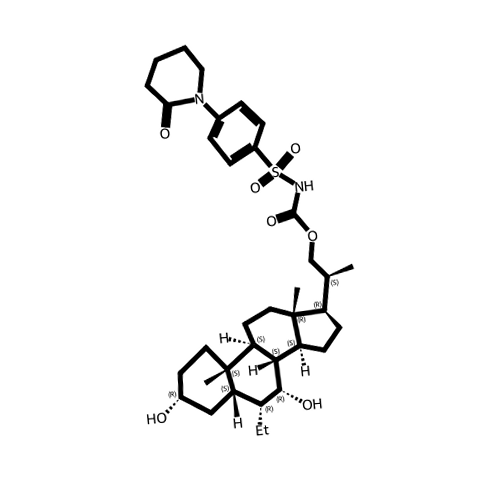 CC[C@H]1[C@@H](O)[C@@H]2[C@H](CC[C@]3(C)[C@@H]([C@H](C)COC(=O)NS(=O)(=O)c4ccc(N5CCCCC5=O)cc4)CC[C@@H]23)[C@@]2(C)CC[C@@H](O)C[C@@H]12